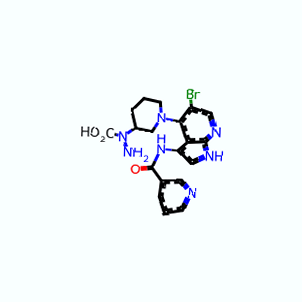 NN(C(=O)O)C1CCCN(c2c(Br)cnc3[nH]cc(NC(=O)c4cccnc4)c23)C1